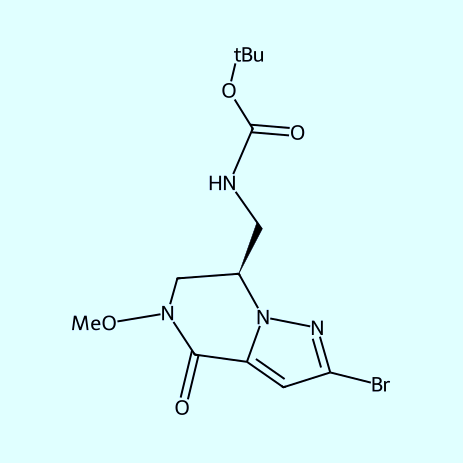 CON1C[C@@H](CNC(=O)OC(C)(C)C)n2nc(Br)cc2C1=O